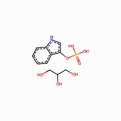 O=P(O)(O)Oc1c[nH]c2ccccc12.OCC(O)CO